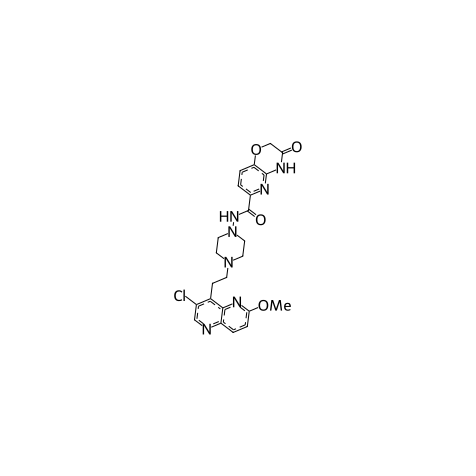 COc1ccc2ncc(Cl)c(CCN3CCN(NC(=O)c4ccc5c(n4)NC(=O)CO5)CC3)c2n1